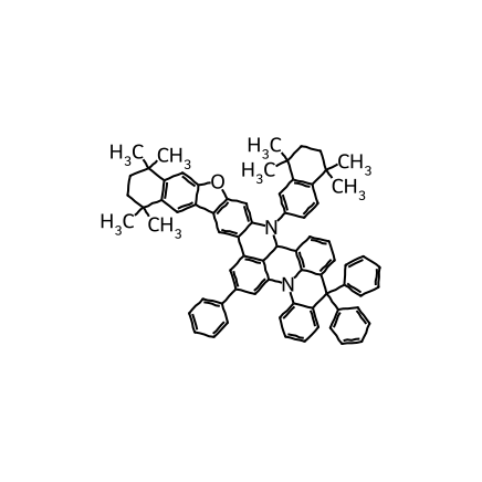 CC1(C)CCC(C)(C)c2cc(N3c4cc5oc6cc7c(cc6c5cc4-c4cc(-c5ccccc5)cc5c4C3c3cccc4c3N5c3ccccc3C4(c3ccccc3)c3ccccc3)C(C)(C)CCC7(C)C)ccc21